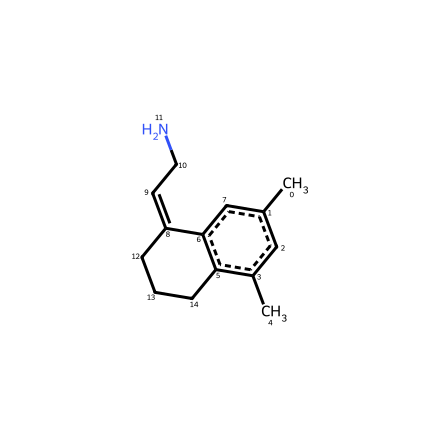 Cc1cc(C)c2c(c1)/C(=C\CN)CCC2